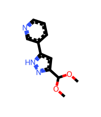 COC(OC)c1cc(-c2cccnc2)[nH]n1